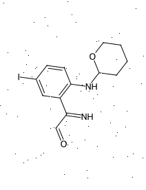 N=C(C=O)c1cc(I)ccc1NC1CCCCO1